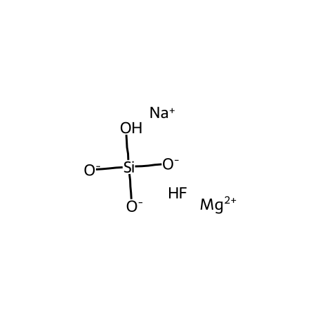 F.[Mg+2].[Na+].[O-][Si]([O-])([O-])O